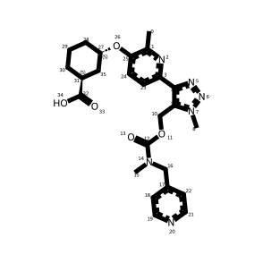 Cc1nc(-c2nnn(C)c2COC(=O)N(C)Cc2ccncc2)ccc1O[C@H]1CCC[C@H](C(=O)O)C1